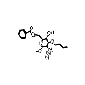 CCCCOC1C(N=[N+]=[N-])[C@@H](OC)OC(COC(=O)c2ccccc2)[C@H]1O